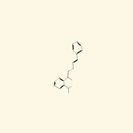 CC(C)c1ccccc1C(O)CCC=Cc1ccccc1